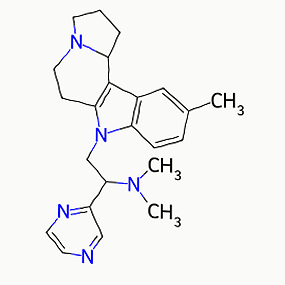 Cc1ccc2c(c1)c1c(n2CC(c2cnccn2)N(C)C)CCN2CCCC12